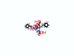 O=C(O)CC[C@H](NC(=O)OCc1ccccc1)C(=O)N[C@@H](CCc1ccccc1)C(=O)CO